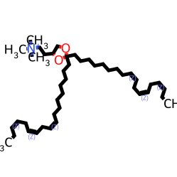 CC/C=C\C/C=C\C/C=C\CCCCCCCCC1(CCCCCCCC/C=C\C/C=C\C/C=C\CC)OCC(CC[N+](C)(C)C)O1